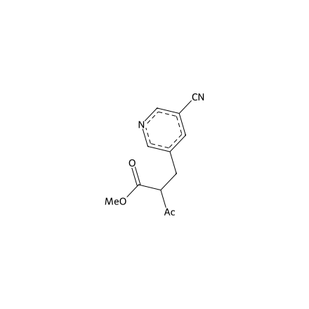 COC(=O)C(Cc1cncc(C#N)c1)C(C)=O